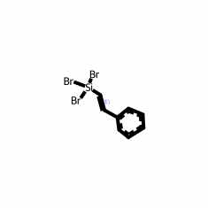 Br[Si](Br)(Br)/C=C/c1ccccc1